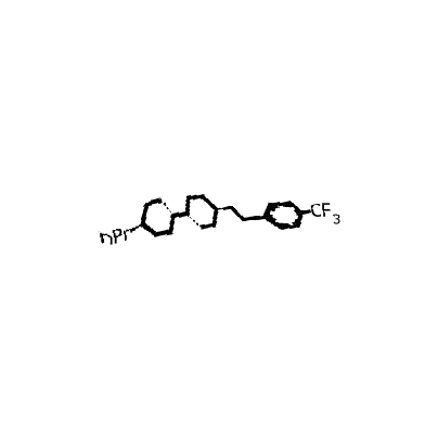 CCC[C@H]1CC[C@H]([C@H]2CC[C@H](CCc3ccc(C(F)(F)F)cc3)CC2)CC1